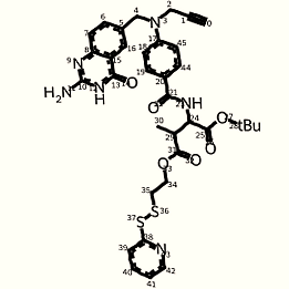 C#CCN(Cc1ccc2nc(N)[nH]c(=O)c2c1)c1ccc(C(=O)NC(C(=O)OC(C)(C)C)C(C)C(=O)OCCSSc2ccccn2)cc1